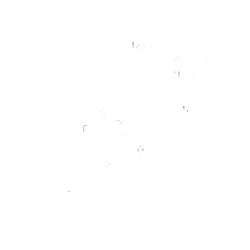 O=C(O)c1cccc(CN2CCC(OC(c3ccc(F)cc3)c3ccccc3F)CC2)n1